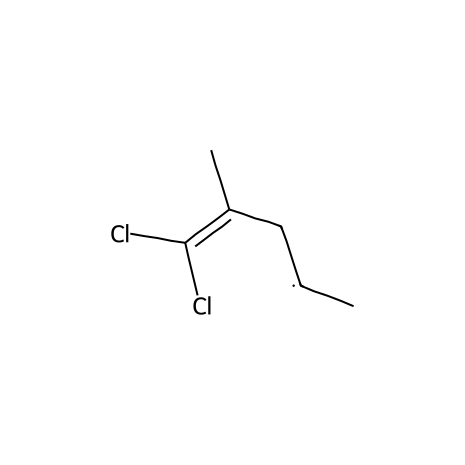 C[CH]CC(C)=C(Cl)Cl